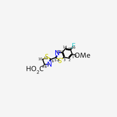 COc1cc2sc(C3=N[C@@H](C(=O)O)CS3)nc2cc1F